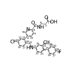 O=C(O)CCNC(=O)c1ccc(-c2cc(Cl)ccc2CNc2ccc(-c3ccc(F)cc3F)c(Cl)c2)cn1